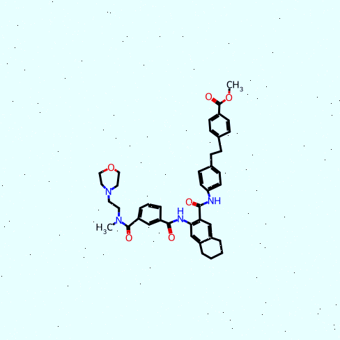 COC(=O)c1ccc(CCc2ccc(NC(=O)c3cc4c(cc3NC(=O)c3cccc(C(=O)N(C)CCN5CCOCC5)c3)CCCC4)cc2)cc1